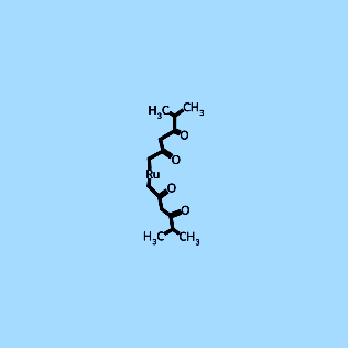 CC(C)C(=O)CC(=O)[CH2][Ru][CH2]C(=O)CC(=O)C(C)C